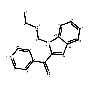 CCOCn1c(C(=O)c2ccncc2)cc2ccccc21